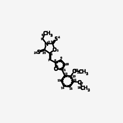 CCN1C(=S)O/C(=C\c2ccc(-c3cccc(OC)c3OC)o2)C1=S